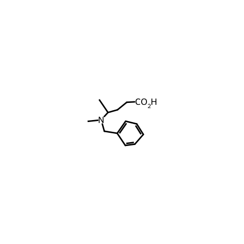 CC(CCC(=O)O)N(C)Cc1ccccc1